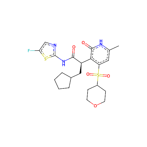 Cc1cc(S(=O)(=O)C2CCOCC2)c([C@@H](CC2CCCC2)C(=O)Nc2ncc(F)s2)c(=O)[nH]1